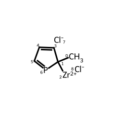 C[C]1([Zr+2])C=CC=P1.[Cl-].[Cl-]